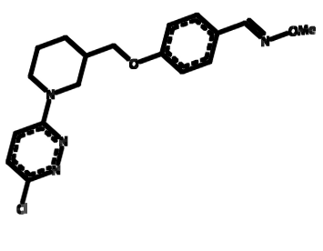 CON=Cc1ccc(OCC2CCCN(c3ccc(Cl)nn3)C2)cc1